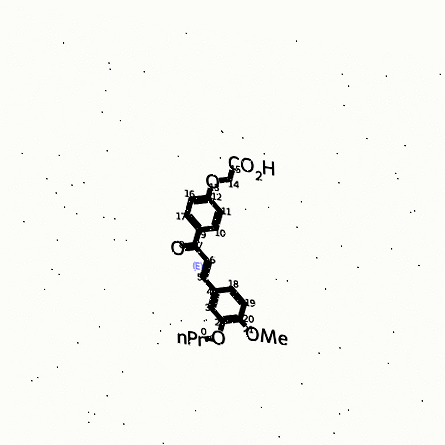 CCCOc1cc(/C=C/C(=O)c2ccc(OCC(=O)O)cc2)ccc1OC